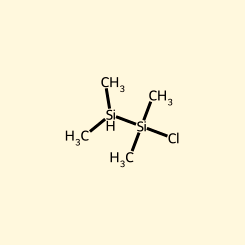 C[SiH](C)[Si](C)(C)Cl